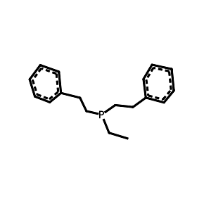 CCP(CCc1ccccc1)CCc1ccccc1